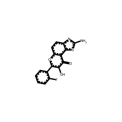 Nc1nc2ccc3oc(-c4ccccc4F)c(O)c(=O)c3c2s1